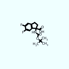 CC(C)(C)OC(=O)NC1(C(=O)O)CCc2cc(F)c(F)cc21